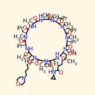 CC[C@@H]1NC(=O)[C@H]([C@H](O)[C@H](C)CCCC(=O)NC2CC2)N(C)C(=O)[C@H](C(C)C)N(C)C(=O)[C@H](CC(C)C)N(C)C(=O)[C@H](CC(C)C)N(C)C(=O)[C@@H](C)NC(=O)[C@H](C)NC(=O)[C@H](CC(C)C)N(C)C(=O)[C@H](C(C)C)NC(=O)[C@H]([C@@H](C)OCCCCN2CCOCC2)N(C)C(=O)[C@@H](C)N(C)C1=O